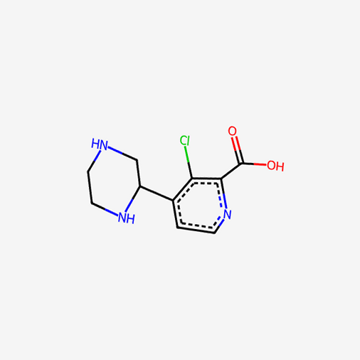 O=C(O)c1nccc(C2CNCCN2)c1Cl